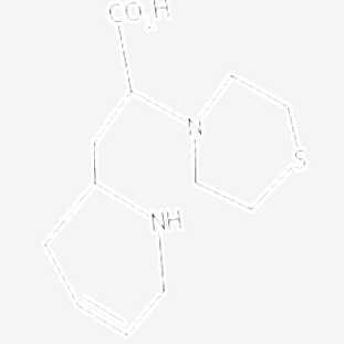 O=C(O)C(CC1CC=CCN1)N1CCSCC1